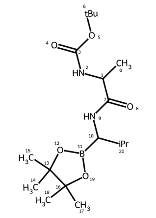 CC(NC(=O)OC(C)(C)C)C(=O)NC(B1OC(C)(C)C(C)(C)O1)C(C)C